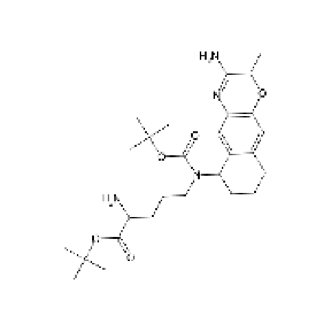 CC1Oc2cc3c(cc2N=C1N)C(N(CCCC(N)C(=O)OC(C)(C)C)C(=O)OC(C)(C)C)CCC3